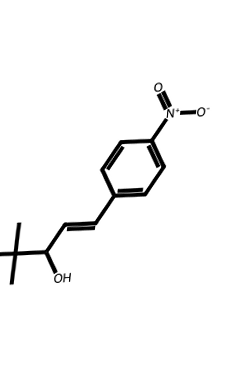 CC(C)(C)C(O)C=Cc1ccc([N+](=O)[O-])cc1